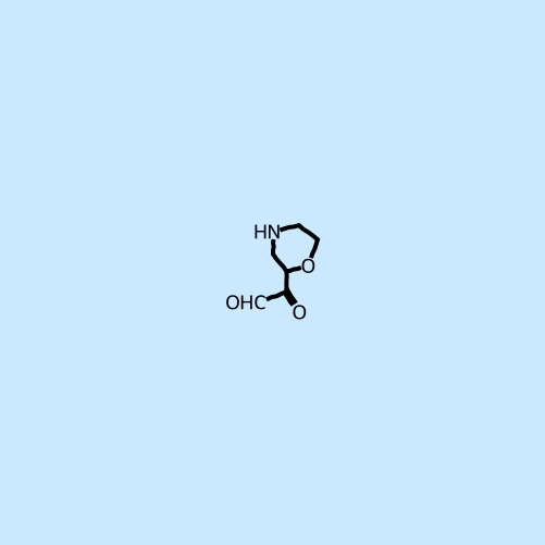 O=CC(=O)C1CNCCO1